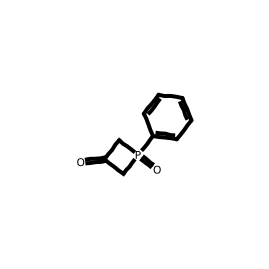 O=C1CP(=O)(c2ccccc2)C1